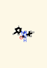 Cc1cccc(-n2nc(C(C)(C)C)[nH]c2=O)c1